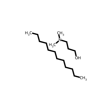 CCCCCCCCCCCC.CN(C)CCCO